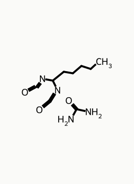 CCCCCC(N=C=O)N=C=O.NC(N)=O